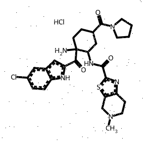 CN1CCc2nc(C(=O)NC3CC(C(=O)N4CCCC4)CCC3(N)C(=O)c3cc4cc(Cl)ccc4[nH]3)sc2C1.Cl